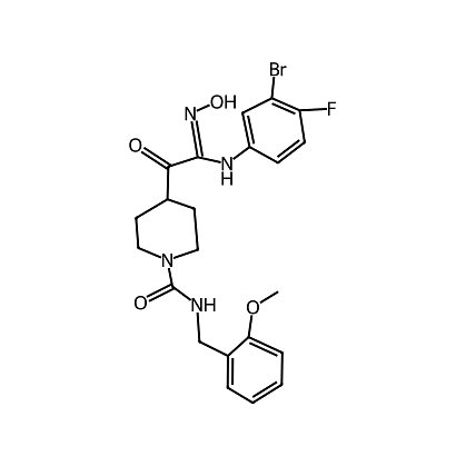 COc1ccccc1CNC(=O)N1CCC(C(=O)/C(=N/O)Nc2ccc(F)c(Br)c2)CC1